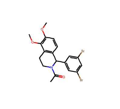 COc1ccc2c(c1OC)CCN(C(C)=O)C2c1cc(Br)cc(Br)c1